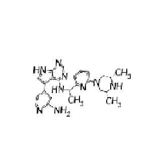 C[C@@H]1CN(c2cccc([C@@H](C)Nc3ncnc4[nH]cc(-c5ccnc(N)c5)c34)n2)C[C@H](C)N1